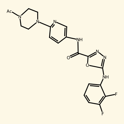 CC(=O)N1CCN(c2ccc(NC(=O)c3nnc(Nc4cccc(F)c4F)o3)cn2)CC1